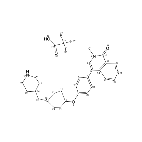 Cn1cc(-c2ccc(OC3CCN(CC4CCNCC4)CC3)cc2)c2ccncc2c1=O.O=C(O)C(F)(F)F